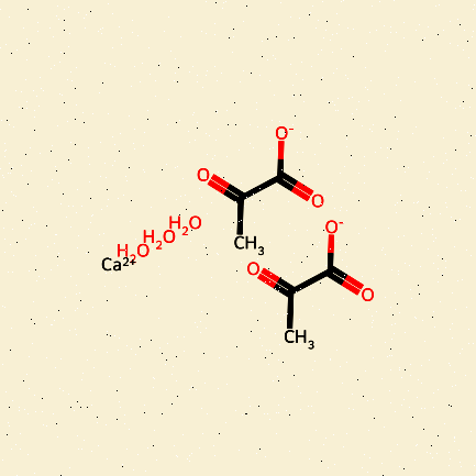 CC(=O)C(=O)[O-].CC(=O)C(=O)[O-].O.O.O.[Ca+2]